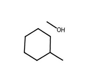 CC1CCCCC1.CO